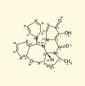 CC(C)N1C(=O)c2c(O)c(=O)ccn2N2[C@H](C3C=CC=CC3)c3ccccc3OCC[C@@H]12